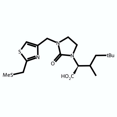 CSCc1nc(CN2CCN([C@H](C(=O)O)C(C)CC(C)(C)C)C2=O)cs1